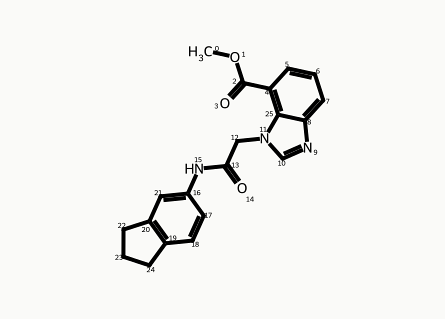 COC(=O)c1cccc2ncn(CC(=O)Nc3ccc4c(c3)CCC4)c12